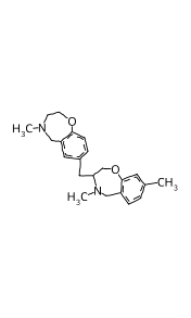 Cc1ccc2c(c1)OCC(Cc1ccc3c(c1)CN(C)CCO3)N(C)C2